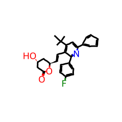 CC(C)(C)c1cc(-c2ccccc2)nc(-c2ccc(F)cc2)c1/C=C/[C@@H]1C[C@@H](O)CC(=O)O1